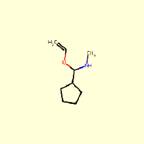 C=COC(NC)C1CCCC1